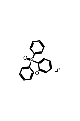 O=P(c1ccccc1)(c1ccccc1)c1ccccc1[O-].[Li+]